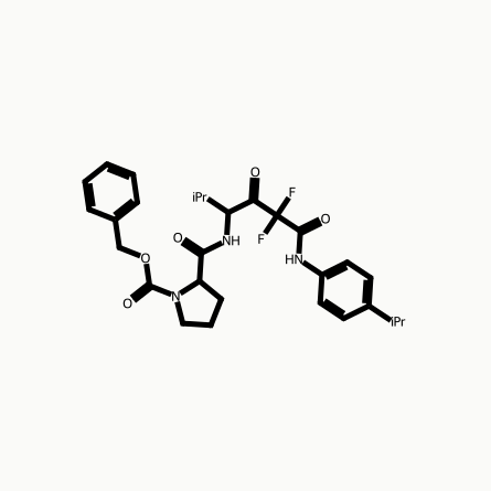 CC(C)c1ccc(NC(=O)C(F)(F)C(=O)C(NC(=O)C2CCCN2C(=O)OCc2ccccc2)C(C)C)cc1